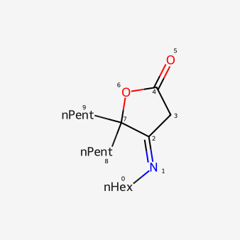 CCCCCCN=C1CC(=O)OC1(CCCCC)CCCCC